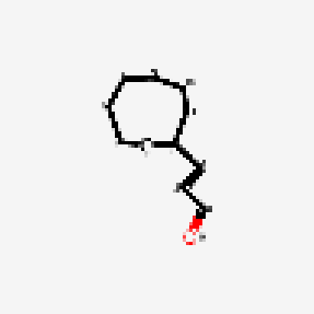 O=CC=CC1CCCCCCC1